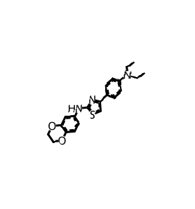 CCN(CC)c1ccc(-c2csc(Nc3ccc4c(c3)OCCO4)n2)cc1